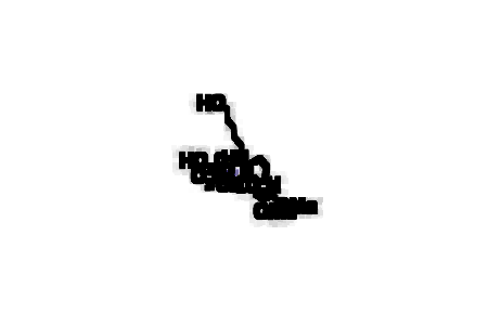 COc1cc2ccc(NCCCCCO)nc2cc1OC.O=C(O)/C=C/C(=O)O.O=[N+]([O-])O